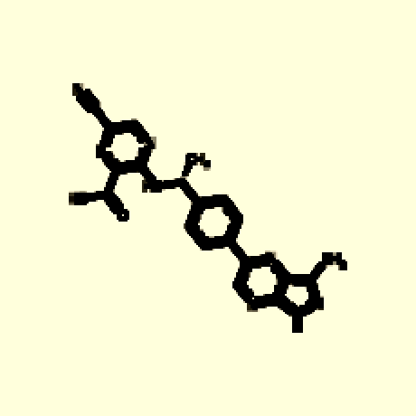 C[C@@H](Nc1ncc(C#N)nc1C(=O)O)c1ccc(-c2cnc3[nH]nc(N)c3n2)cc1